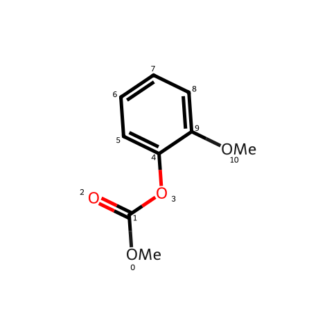 COC(=O)Oc1ccccc1OC